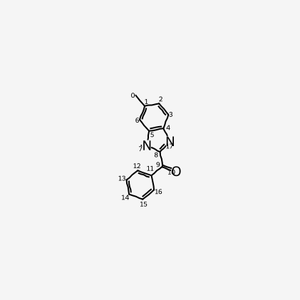 Cc1ccc2c(c1)[N]C(C(=O)c1ccccc1)=N2